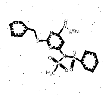 CC[C@@H](C)Nc1cc(N(S(C)(=O)=O)S(=O)(=O)c2ccccc2)nc(SCc2ccccc2)n1